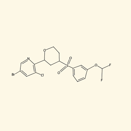 O=S(=O)(c1cccc(OC(F)F)c1)C1CCOC(c2ncc(Br)cc2Cl)C1